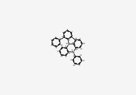 c1ccc(-c2cccc3c2B2c4ccccc4N(c4ccccc4)c4cccc-3c42)cc1